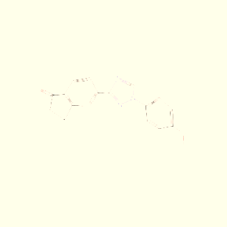 O=C1CCc2cc(-c3ncn(-c4ccc(OC(F)(F)F)cc4)n3)ccc21